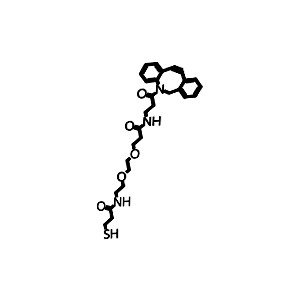 O=C(CCS)NCCOCCOCCC(=O)NCCC(=O)N1Cc2ccccc2C#Cc2ccccc21